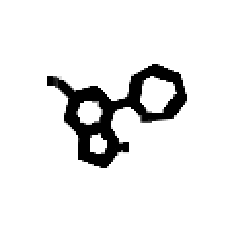 Brc1cc(C2=CC=CC=CN2)c2[nH]ccc2c1